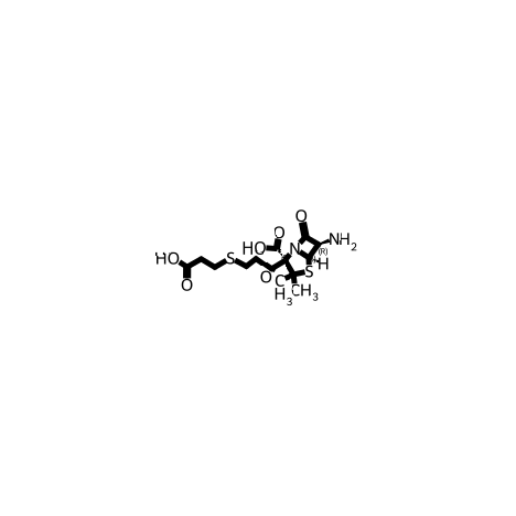 CC1(C)S[C@@H]2[C@H](N)C(=O)N2[C@]1(C(=O)O)C(=O)CCSCCC(=O)O